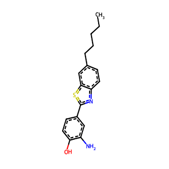 CCCCCc1ccc2nc(-c3ccc(O)c(N)c3)sc2c1